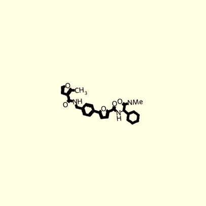 CNC(=O)[C@@H](NC(=O)c1ccc(-c2ccc(CNC(=O)c3ccoc3C)cc2)o1)C1CCCCC1